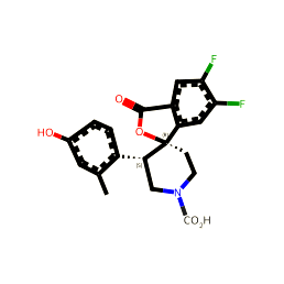 Cc1cc(O)ccc1[C@H]1CN(C(=O)O)CC[C@@]12OC(=O)c1cc(F)c(F)cc12